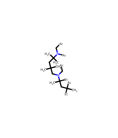 CCC(C)(CC(C)(CC)N(CC(C)=O)CC(C)(C)CC(C)(C)N(CC(C)=O)C(C)=O)C(C)=O